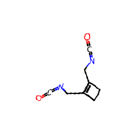 O=C=NCC1=C(CN=C=O)CC1